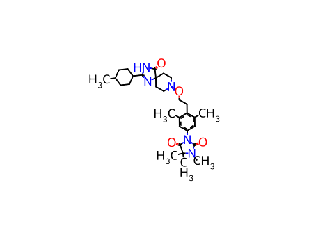 Cc1cc(N2C(=O)N(C)C(C)(C)C2=O)cc(C)c1CCON1CCC2(CC1)N=C(C1CCC(C)CC1)NC2=O